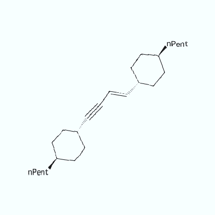 CCCCC[C@H]1CC[C@H](C#CC=C[C@H]2CC[C@H](CCCCC)CC2)CC1